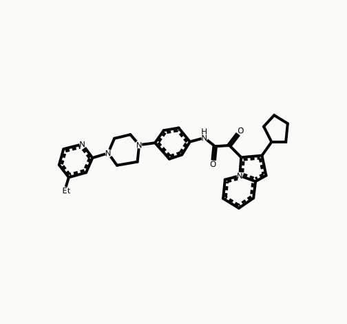 CCc1ccnc(N2CCN(c3ccc(NC(=O)C(=O)c4c(C5CCCC5)cc5ccccn45)cc3)CC2)c1